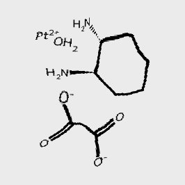 N[C@@H]1CCCC[C@H]1N.O.O=C([O-])C(=O)[O-].[Pt+2]